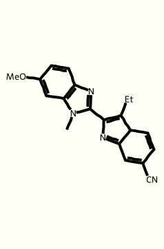 CCC1=C(c2nc3ccc(OC)cc3n2C)N=C2C=C(C#N)C=CC21